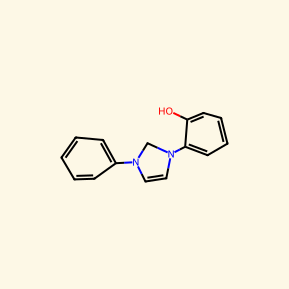 Oc1ccccc1N1C=CN(c2ccccc2)C1